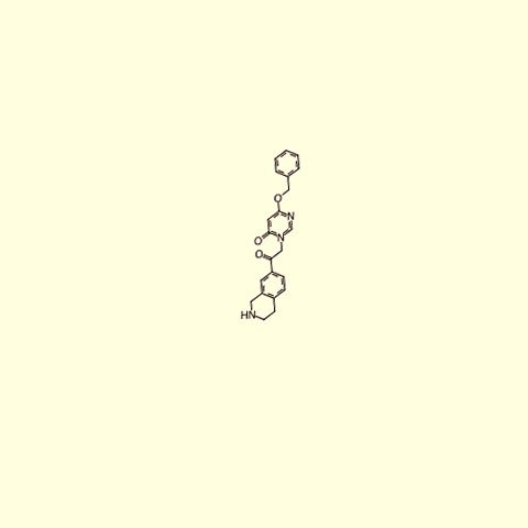 O=C(Cn1cnc(OCc2ccccc2)cc1=O)c1ccc2c(c1)CNCC2